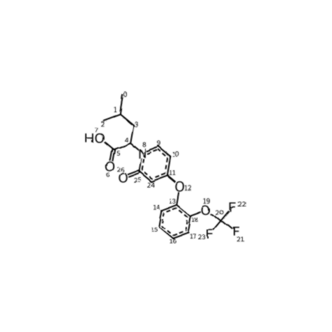 CC(C)CC(C(=O)O)n1ccc(Oc2ccccc2OC(F)(F)F)cc1=O